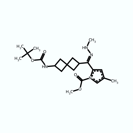 CN/N=C(/c1cc(C)cn1C(=O)OC)C1CC2(CC(NC(=O)OC(C)(C)C)C2)C1